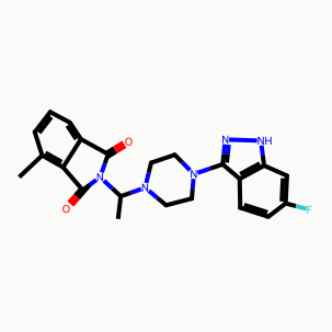 Cc1cccc2c1C(=O)N(C(C)N1CCN(c3n[nH]c4cc(F)ccc34)CC1)C2=O